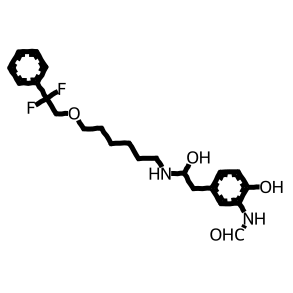 O=CNc1cc(CC(O)NCCCCCCOCC(F)(F)c2ccccc2)ccc1O